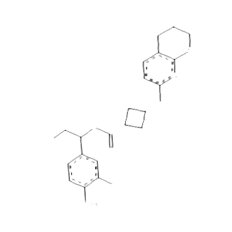 CCOC(=O)CC(NC(=O)[C@H]1C[C@@H](Cc2ccc3c(n2)NCCC3)C1)c1ccc(OC)c(F)c1